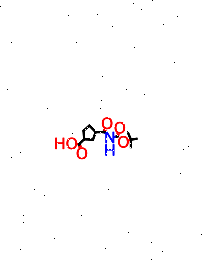 CC(C)(C)OC(=O)NC(=O)C1CCC(C(=O)O)C1